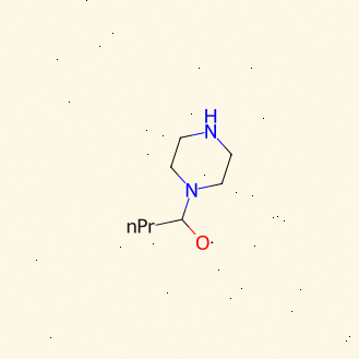 CCCC([O])N1CCNCC1